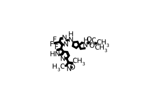 Cc1noc(C)c1-c1ccc2c(-c3nc(NC4CCC5(CCN(C(=O)OC(C)(C)C)C5)C4)ncc3C(F)(F)F)c[nH]c2n1